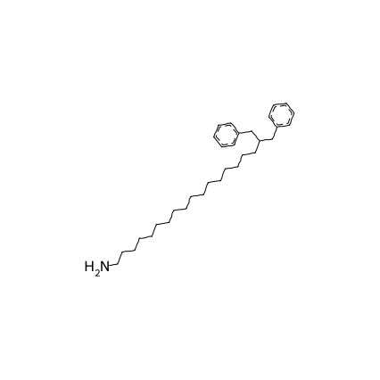 NCCCCCCCCCCCCCCCCCC(Cc1ccccc1)Cc1ccccc1